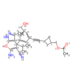 CC(=O)OCC1CC(C#Cc2cc(CO)cc(C3(C(C)C)C(C#N)=C(N)Oc4[nH]nc(C)c43)c2)C1